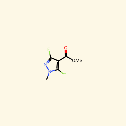 COC(=O)c1c(F)nn(C)c1F